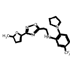 CC1CC=C(c2noc(CNc3cc(C(F)(F)F)ccc3N3CCCC3)n2)O1